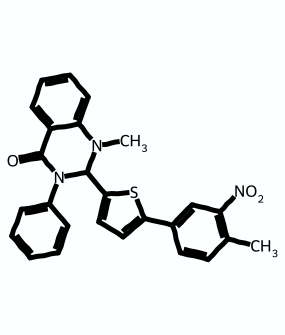 Cc1ccc(-c2ccc(C3N(C)c4ccccc4C(=O)N3c3ccccc3)s2)cc1[N+](=O)[O-]